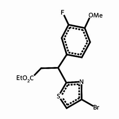 CCOC(=O)CC(c1ccc(OC)c(F)c1)c1nc(Br)cs1